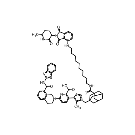 C=C1CCC(N2C(=O)c3cccc(NCCCCCCCCCCNC(=O)C45CC6CC(CC(Cn7ncc(-c8ccc(N9CCc%10cccc(C(=O)Nc%11nc%12ccccc%12s%11)c%10C9)nc8C(=O)O)c7C)(C6)C4)C5)c3C2=O)C(=O)N1